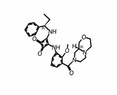 CC[C@@H](Nc1c(Nc2cccc(C(=O)N3CCN4CCOC[C@H]4C3)c2OC)c(=O)c1=O)c1ccccc1